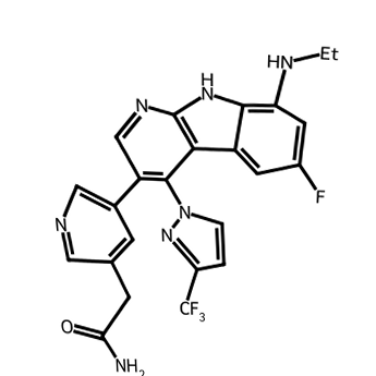 CCNc1cc(F)cc2c1[nH]c1ncc(-c3cncc(CC(N)=O)c3)c(-n3ccc(C(F)(F)F)n3)c12